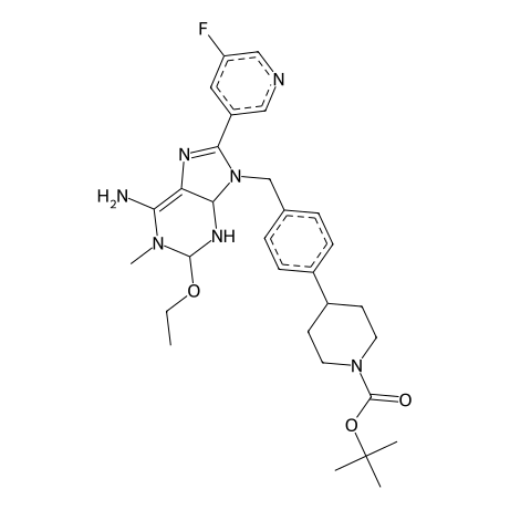 CCOC1NC2C(=C(N)N1C)N=C(c1cncc(F)c1)N2Cc1ccc(C2CCN(C(=O)OC(C)(C)C)CC2)cc1